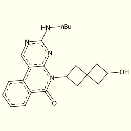 CCCCNc1ncc2c3ccccc3c(=O)n(C3CC4(CC(O)C4)C3)c2n1